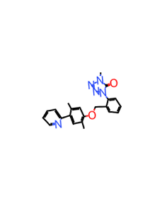 Cc1cc(-c2ccccn2)c(C)cc1OCc1ccccc1-n1nnn(C)c1=O